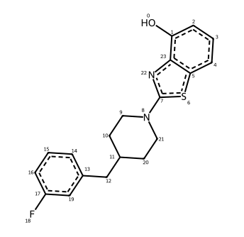 Oc1cccc2sc(N3CCC(Cc4cccc(F)c4)CC3)nc12